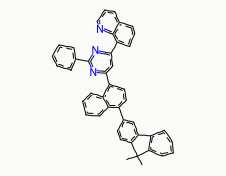 CC1(C)c2ccccc2-c2cc(-c3ccc(-c4cc(-c5cccc6cccnc56)nc(-c5ccccc5)n4)c4ccccc34)ccc21